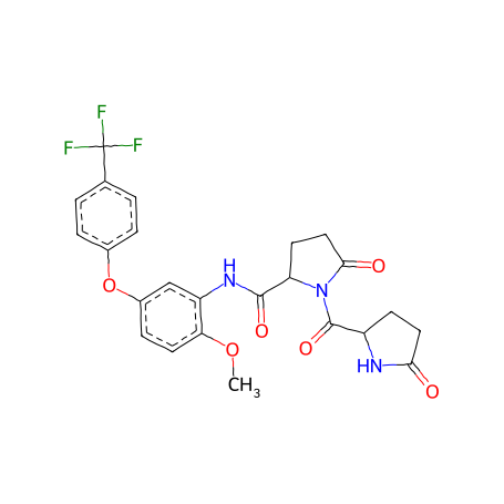 COc1ccc(Oc2ccc(C(F)(F)F)cc2)cc1NC(=O)C1CCC(=O)N1C(=O)C1CCC(=O)N1